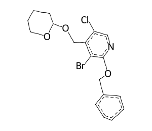 Clc1cnc(OCc2ccccc2)c(Br)c1COC1CCCCO1